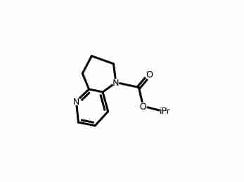 CC(C)OC(=O)N1CCCc2ncccc21